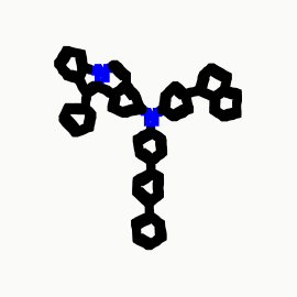 c1ccc(-c2ccc(-c3ccc(N(c4ccc(-c5cccc6ccccc56)cc4)c4ccc5c(ccn6c7ccccc7c(-c7ccccc7)c56)c4)cc3)cc2)cc1